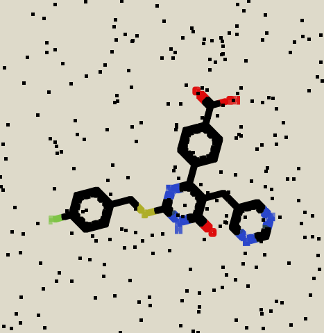 O=C(O)c1ccc(-c2nc(SCc3ccc(F)cc3)[nH]c(=O)c2Cc2cncnc2)cc1